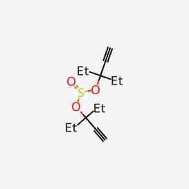 C#CC(CC)(CC)OS(=O)OC(C#C)(CC)CC